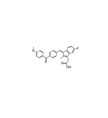 COc1ccc(C(=O)c2ccc(/C=C3\C(C)=C(CC(=O)O)c4cc(F)ccc43)cc2)cc1